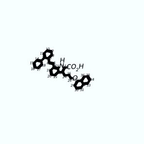 O=C(O)c1[nH]c2c(C=Cc3ccccc3-c3ccccc3)cccc2c1CCCOc1cccc2ccccc12